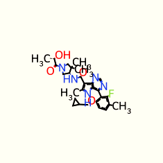 Cc1ccc(OCC2CC2)c(-c2ncnc3c(C(=O)N[C@@H]4CN(C(=O)[C@H](C)O)CC4(C)C)c(C)[nH]c23)c1F